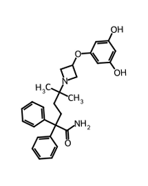 CC(C)(CCC(C(N)=O)(c1ccccc1)c1ccccc1)N1CC(Oc2cc(O)cc(O)c2)C1